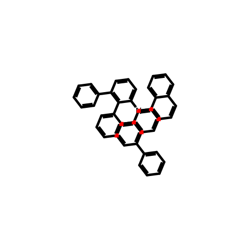 c1ccc(-c2cccc(N(c3cccc(-c4ccccc4)c3-c3ccccc3-c3ccccc3)c3cccc4ccccc34)c2)cc1